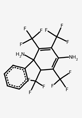 NC1=C(C(F)(F)F)C(C(F)(F)F)C(N)(c2ccccc2)C(C(F)(F)F)=C1C(F)(F)F